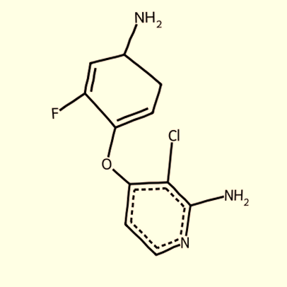 Nc1nccc(OC2=CCC(N)C=C2F)c1Cl